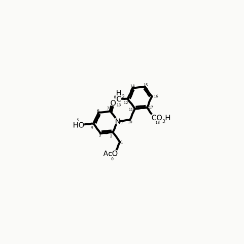 CC(=O)OCc1cc(O)cc(=O)n1Cc1c(C)cccc1C(=O)O